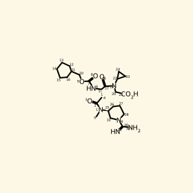 CN(C(=O)C[C@H](NC(=O)OCC1CCCCC1)C(=O)N(CC(=O)O)C1CC1)[C@H]1CCCN(C(=N)N)C1